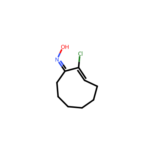 ON=C1CCCCCC/C=C/1Cl